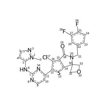 Cn1nccc1Nc1nccc(-c2sc3c(c2Cl)C(=O)N(Cc2ccc(F)c(F)c2)C32COC2)n1